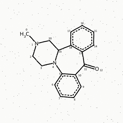 CN1CCN2c3ccccc3C(=O)c3ccccc3C2C1